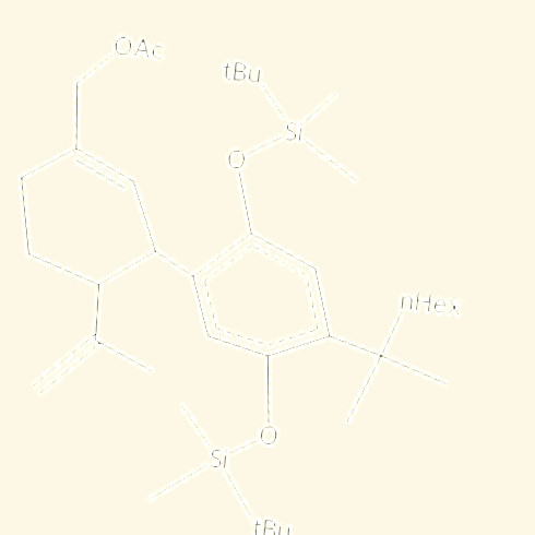 C=C(C)C1CCC(COC(C)=O)=CC1c1cc(O[Si](C)(C)C(C)(C)C)c(C(C)(C)CCCCCC)cc1O[Si](C)(C)C(C)(C)C